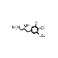 CC(C)(C)c1cc(C[C@@H](O)CN)cc(F)c1Cl